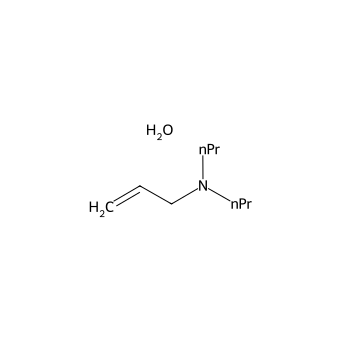 C=CCN(CCC)CCC.O